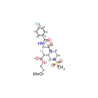 COCCOC(=O)CC[C@H](NC(=O)c1ccc(F)cc1)C(=O)N1CCN(S(C)(=O)=O)CC1